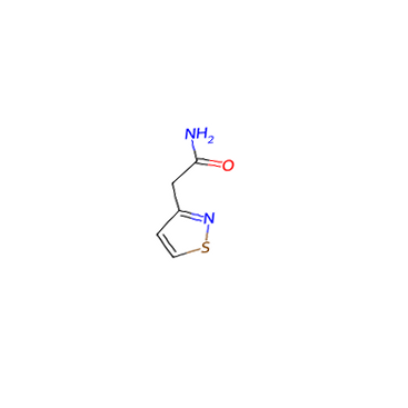 NC(=O)Cc1ccsn1